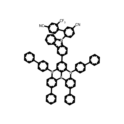 N#Cc1ccc(-n2c3ccccc3c3cc(-c4cc5c6c(c4)N(c4ccc(-c7ccccc7)cc4)c4ccc(-c7ccccc7)cc4B6c4cc(-c6ccccc6)ccc4N5c4ccc(-c5ccccc5)cc4)ccc32)c(-c2ccc(C#N)cc2C(F)(F)F)c1